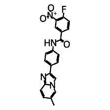 Cc1ccc2nc(-c3ccc(NC(=O)c4ccc(F)c([N+](=O)[O-])c4)cc3)cn2c1